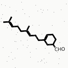 CC(C)=CCC/C(C)=C/CCC1=CCCC(C=O)C1